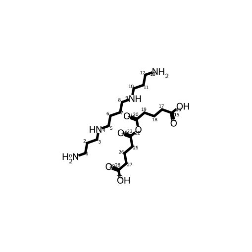 NCCCNCCCCNCCCN.O=C(O)CCCC(=O)OC(=O)CCCC(=O)O